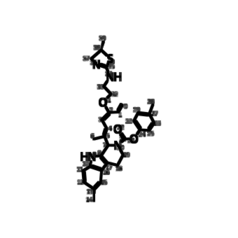 C=C/C(=C\C=C(/C)C1c2[nH]c3ccc(I)cc3c2CCN1C(=O)Oc1ccc(C)cc1)OCCNC1=NC[C@@H](C)S1